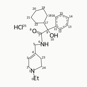 CCN1CC=C(CNC(=O)C(O)(c2ccccc2)C2CCCCC2)CC1.Cl